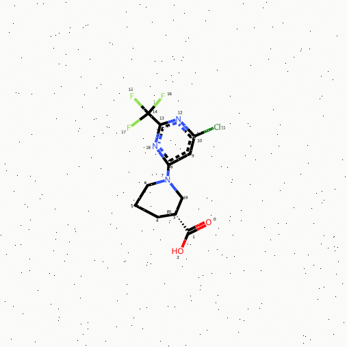 O=C(O)[C@@H]1CCCN(c2cc(Cl)nc(C(F)(F)F)n2)C1